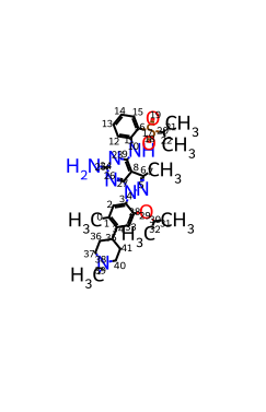 Cc1cc(-n2nc(C)c3c(Nc4ccccc4S(=O)(=O)C(C)C)nc(N)nc32)c(OC(C)C)cc1C1CCN(C)CC1